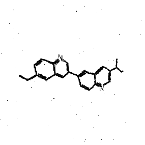 CCc1ccc2ncc(-c3ccc4ncc(C(C)C)cc4c3)cc2c1